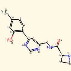 O=C(NCc1cc(-c2ccc(C(F)(F)F)cc2O)ncn1)[C@@H]1CCN1